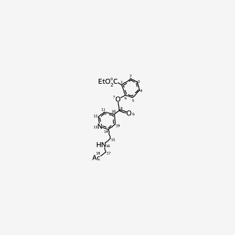 CCOC(=O)c1ccccc1OC(=O)c1ccnc(CNCC(C)=O)c1